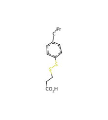 CC(C)Cc1ccc(SSCCC(=O)O)cc1